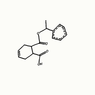 CC(OC(=O)C1CC=CCC1C(=O)O)c1ccccc1